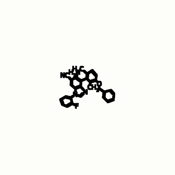 Cc1ccc(OCc2ccccc2)c(C)c1-c1c(N)c(C#N)cc2c1ncn2-c1ccccc1F